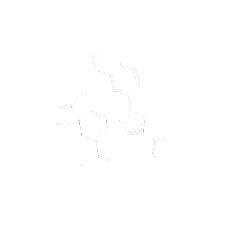 CC1(C(=O)O)C=CC=C(C(=O)O)C1.CSc1nccc(-n2cc(C(=O)O)cn2)n1